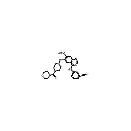 C#Cc1cccc(Nc2ncnc3cc(OC)c(OC4CCN(C(=O)N5CCOCC5)CC4)cc23)c1